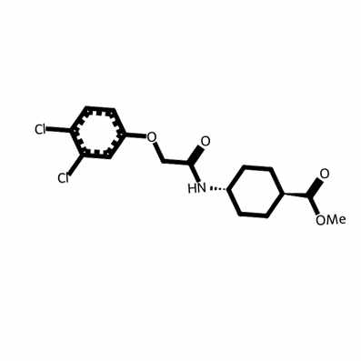 COC(=O)[C@H]1CC[C@H](NC(=O)COc2ccc(Cl)c(Cl)c2)CC1